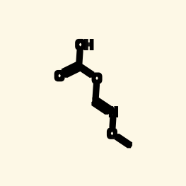 CON=COC(=O)O